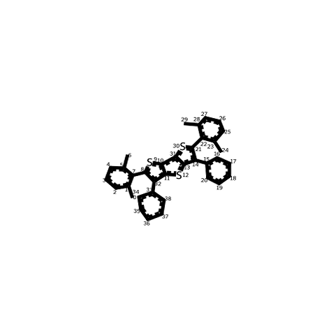 Cc1cccc(C)c1-c1sc2c(sc3c(-c4ccccc4)c(-c4c(C)cccc4C)sc32)c1-c1ccccc1